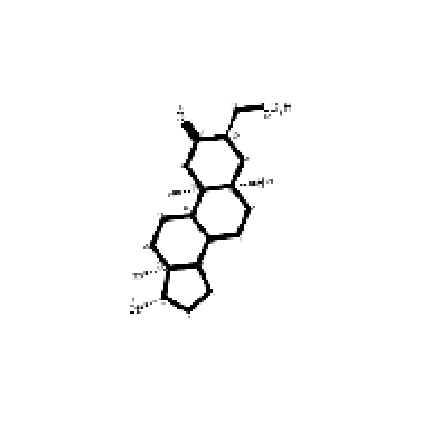 CC[C@H]1CCC2C3CC[C@@H]4C[C@H](CC(=O)O)C(=O)C[C@]4(C)C3CC[C@@]21C